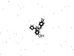 Oc1ccc2c(C3CCCC3)nn(Cc3ccc(Br)cc3)c2c1